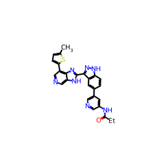 CCC(=O)Nc1cncc(-c2ccc3[nH]nc(-c4nc5c(-c6ccc(C)s6)cncc5[nH]4)c3c2)c1